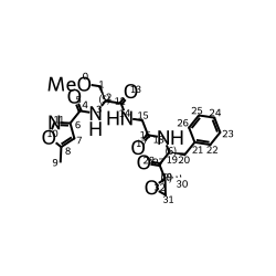 COC[C@H](NC(=O)c1cc(C)on1)C(=O)NCC(=O)N[C@@H](Cc1ccccc1)C(=O)[C@@]1(C)CO1